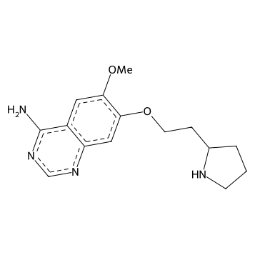 COc1cc2c(N)ncnc2cc1OCCC1CCCN1